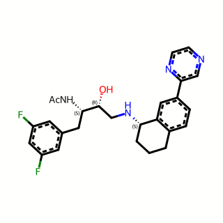 CC(=O)N[C@@H](Cc1cc(F)cc(F)c1)[C@H](O)CN[C@H]1CCCc2ccc(-c3cnccn3)cc21